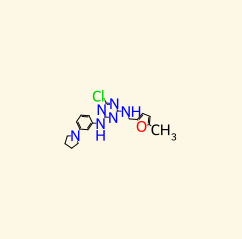 Cc1ccc(CNc2nc(Cl)nc(Nc3cccc(N4CCCC4)c3)n2)o1